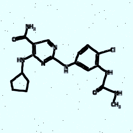 CNC(=O)Nc1cc(Nc2ncc(C(N)=O)c(NC3CCCC3)n2)ccc1Cl